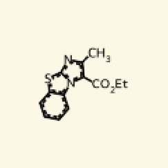 CCOC(=O)c1c(C)nc2sc3ccccc3n12